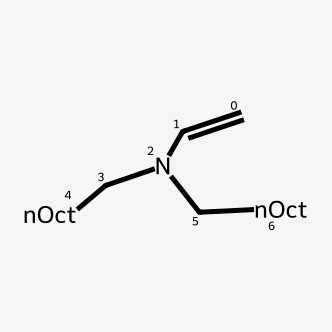 C=CN(CCCCCCCCC)CCCCCCCCC